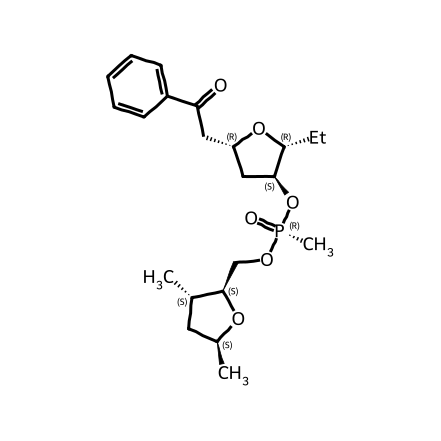 CC[C@H]1O[C@@H](CC(=O)c2ccccc2)C[C@@H]1O[P@](C)(=O)OC[C@H]1O[C@@H](C)C[C@@H]1C